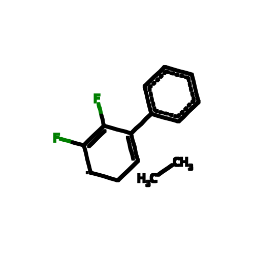 CC.FC1=C(F)C(c2ccccc2)=CC[CH]1